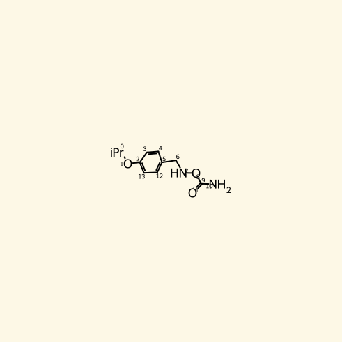 CC(C)Oc1ccc(CNOC(N)=O)cc1